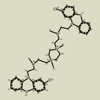 CN(CCN1c2ccccc2Sc2ccc(Cl)cc21)CC[N+]1(C)CC[N+](C)(CCN(C)CCN2c3ccccc3Sc3ccc(Cl)cc32)CC1